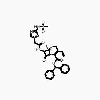 C=CC1=C(C(=O)OC(c2ccccc2)c2ccccc2)N2C(=O)C(NC(=O)Cc3cnc(NS(C)(=O)=O)s3)[C@@H]2SC1